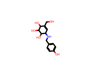 OCC1=CC(NCc2ccc(O)cc2)C(O)C(O)C1O